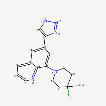 FC1(F)CCN(c2cc(-c3c[nH]nn3)cc3cccnc23)CC1